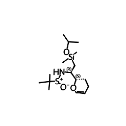 CC(C)O[Si](C)(C)C[C@H](N[S+]([O-])C(C)(C)C)[C@@H]1CCC=CO1